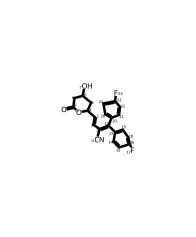 N#CC(/C=C/C1CC(O)CC(=O)O1)=C(c1ccc(F)cc1)c1ccc(F)cc1